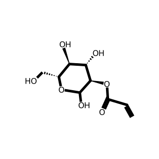 C=CC(=O)O[C@H]1C(O)O[C@H](CO)[C@@H](O)[C@@H]1O